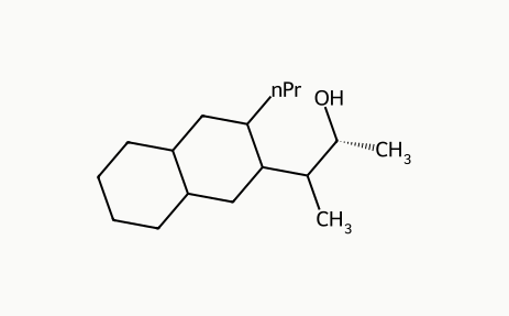 CCCC1CC2CCCCC2CC1C(C)[C@@H](C)O